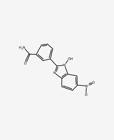 NC(=O)c1cccc(-c2nc3ccc([N+](=O)[O-])cc3n2O)c1